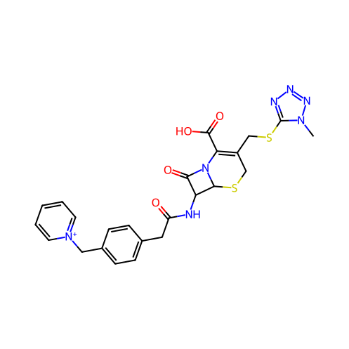 Cn1nnnc1SCC1=C(C(=O)O)N2C(=O)C(NC(=O)Cc3ccc(C[n+]4ccccc4)cc3)C2SC1